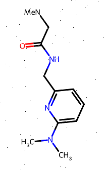 CNCC(=O)NCc1cccc(N(C)C)n1